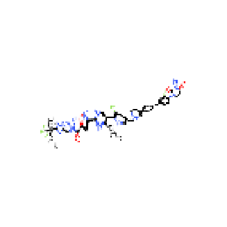 Cc1nc(-c2cc(C(=O)NCc3nc(C(C)(C)C(F)(F)F)n[nH]3)on2)ncc1-c1ncc(CN2CCC3(CC(c4ccc(N5CCC(=O)NC5=O)c(F)c4)C3)C2)cc1F